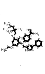 CCOc1cc(OCC(C)(C)CN(C)C)c(F)c(N(Cc2nc(-c3ccccc3)c[nH]2)c2ccc(C(=N)N)cc2)c1